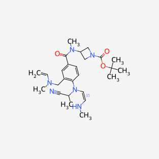 C=CN(C)Cc1cc(C(=O)N(C)C2CN(C(=O)OC(C)(C)C)C2)ccc1N(/C=C\NC)C(C)C#N